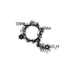 CNC(=O)C[C@@H]1NC(=O)c2csc(n2)-c2ccc(-c3nc(N(CC(=O)O)C(=O)O[C@H]4CC[C@H](C(=O)O)CC4)cs3)nc2-c2csc(n2)-c2csc(n2)[C@H](Cc2ccccc2)NC(=O)CNC(=O)c2nc(sc2COC)C(C(C)C)NC(=O)c2nc1sc2C